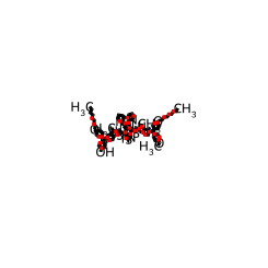 CCCCCCCCOc1ccc(N(c2ccc(O)cc2)c2ccc3c4sc(-c5c6nsnc6c(-c6cc7c(s6)c6ccc(N(c8ccc(OC)cc8)c8ccc(OCCCCCCCC)cc8)cc6n7C)c6nc7c8ncccc8c8cccnc8c7nc56)cc4n(C)c3c2)cc1